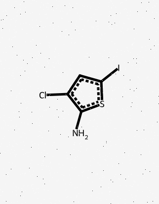 Nc1sc(I)cc1Cl